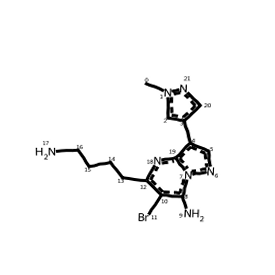 Cn1cc(-c2cnn3c(N)c(Br)c(CCCCN)nc23)cn1